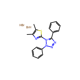 Br.Br.Cc1nc(-[n+]2c(-c3ccccc3)nnn2-c2ccccc2)sc1C